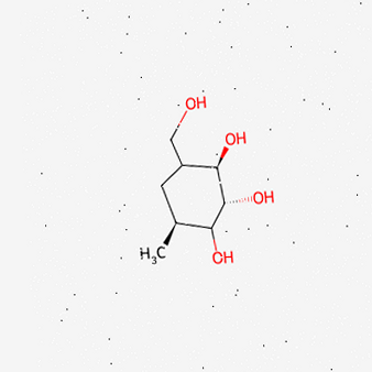 C[C@H]1CC(CO)[C@@H](O)[C@H](O)C1O